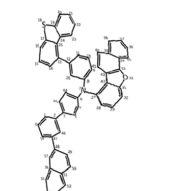 c1cc(-c2ccc(N(c3cccc(-c4cccc5sc6ccccc6c45)c3)c3cccc4oc5c6ccccc6ccc5c34)cc2)cc(-c2ccc3ccccc3c2)c1